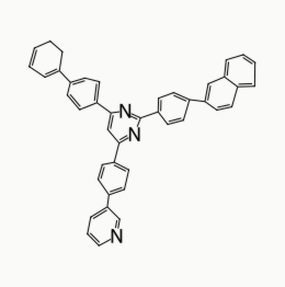 C1=CCCC(c2ccc(-c3cc(-c4ccc(-c5cccnc5)cc4)nc(-c4ccc(-c5ccc6ccccc6c5)cc4)n3)cc2)=C1